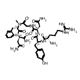 CN(C(=O)CNC(=O)[C@@H](CC(N)=O)NC(=O)[C@H](Cc1ccc(O)cc1)NC(=O)[C@@H](N)CCCNC(=N)N)[C@@H](Cc1ccccc1)C(=O)N[C@H](CC(N)=O)C(N)=O